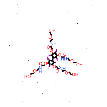 O=C(COc1c(I)c(OCC(=O)NCCOCCO)c(I)c(-c2c(I)c(OCC(=O)NCCOCCO)c(I)c(OCC(=O)NCCOCCO)c2I)c1I)NCCOCCO